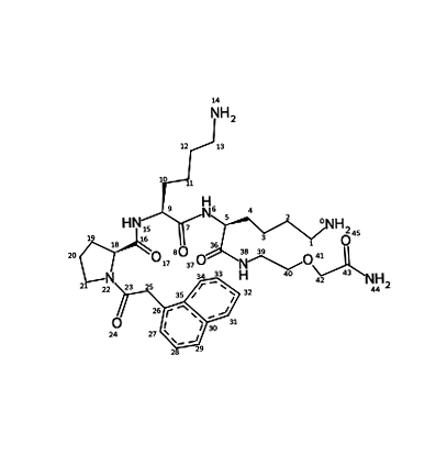 NCCCC[C@H](NC(=O)[C@H](CCCCN)NC(=O)[C@@H]1CCCN1C(=O)Cc1cccc2ccccc12)C(=O)NCCOCC(N)=O